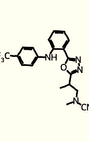 CC(CN(C)C#N)c1nnc(-c2ccccc2Nc2ccc(C(F)(F)F)cc2)o1